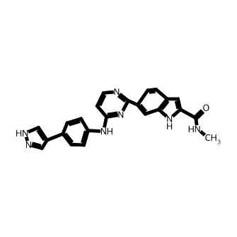 CNC(=O)c1cc2ccc(-c3nccc(Nc4ccc(-c5cn[nH]c5)cc4)n3)cc2[nH]1